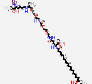 C=C(O)CCCCCCCCCCCCCCCCC(=O)N[C@@H](CCC(=O)NCCOCCOCC(=O)NCCOCCOCC(=C)NCCCC[C@H](NP)C(=C)O)C(=C)O